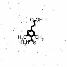 Cc1cc(CCC(=O)O)cc(C)c1C(N)=O